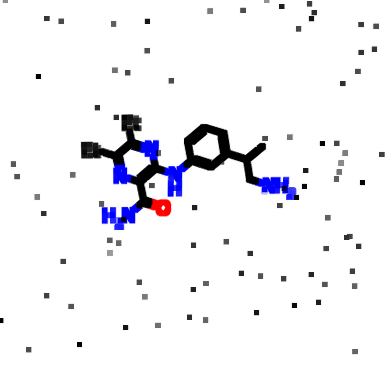 CCc1nc(Nc2cccc(C(C)CN)c2)c(C(N)=O)nc1CC